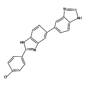 Clc1ccc(-c2nc3cc(-c4ccc5[nH][c]nc5c4)ccc3[nH]2)cc1